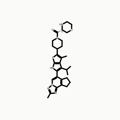 Cc1nc2c3c(c(-c4[nH]c5sc(C6CCN(C(=O)[C@H]7COCCN7)CC6)c(C)c5c4C(C)C)cn2n1)CCC3